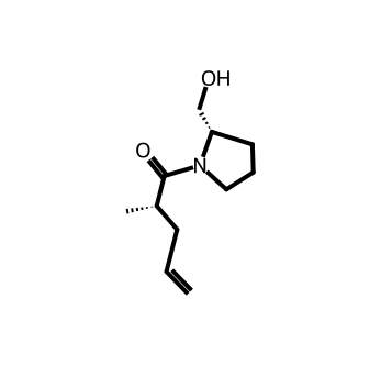 C=CC[C@H](C)C(=O)N1CCC[C@H]1CO